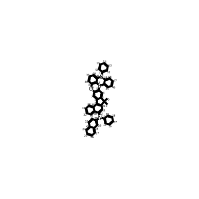 CC1(C)c2cc3c(cc2-c2c1cc(N(c1ccccc1)c1ccc4ccccc4c1)c1ccccc21)Oc1cccc2c1B3c1ccccc1N2c1ccccc1